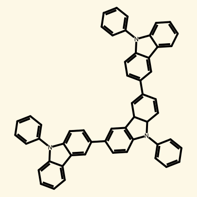 C1=CC2C(C=C1c1ccc3c(c1)c1ccccc1n3-c1ccccc1)c1cc(-c3ccc4c(c3)c3ccccc3n4-c3ccccc3)ccc1N2c1ccccc1